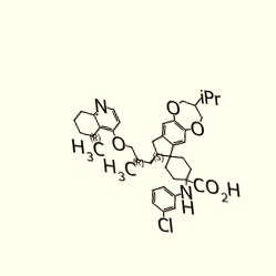 CC(C)C1COc2cc3c(cc2OC1)C1(CCC(Nc2cccc(Cl)c2)(C(=O)O)CC1)[C@@H](C[C@@H](C)COc1ccnc2c1[C@H](C)CCC2)C3